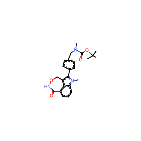 CN(Cc1ccc(-c2c3c4c(cccc4n2C)C(=O)NOC3)cc1)C(=O)OC(C)(C)C